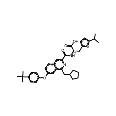 CC(C)c1ccc(C[C@@H](NC(=O)c2cc3ccc(Oc4ccc(C(C)(C)C)cc4)cc3c(CC3CCCC3)n2)C(=O)O)s1